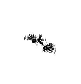 CC1Cc2c(OCCCc3c(Nc4ccc(O[Si](C)(C)C(C)(C)C)cc4)cc(C#N)n3C)cccc2C(C(C)(C)C)N1C(=O)O